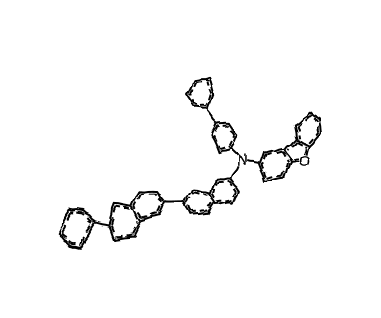 c1ccc(-c2ccc(N(c3ccc4ccc(-c5ccc6cc(-c7ccccc7)ccc6c5)cc4c3)c3ccc4oc5ccccc5c4c3)cc2)cc1